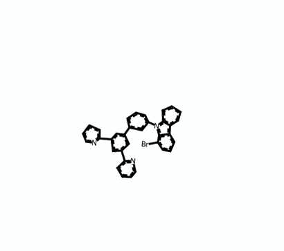 Brc1cccc2c3ccccc3n(-c3cccc(-c4cc(-c5ccccn5)cc(-c5ccccn5)c4)c3)c12